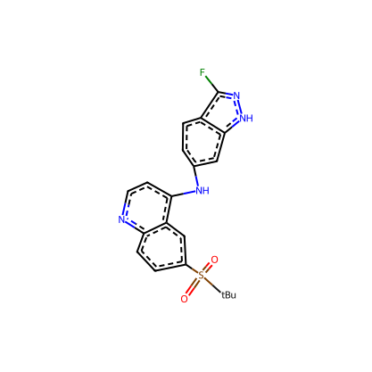 CC(C)(C)S(=O)(=O)c1ccc2nccc(Nc3ccc4c(F)n[nH]c4c3)c2c1